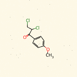 COc1ccc(C(=O)C(Cl)CCl)cc1